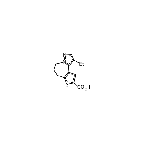 CCc1cnn2c1-c1cc(C(=O)O)sc1CCC2